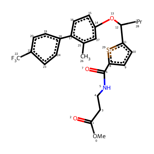 COC(=O)CCNC(=O)c1ccc(C(Oc2ccc(-c3ccc(C(F)(F)F)cc3)c(C)c2)C(C)C)s1